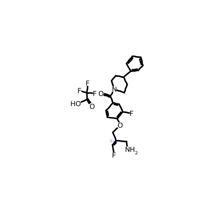 NC/C(=C\F)COc1ccc(C(=O)N2CCC(c3ccccc3)CC2)cc1F.O=C(O)C(F)(F)F